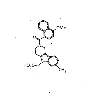 COc1ccc(C(=O)N2CCc3c(c4ccc(C)cc4n3CC(=O)O)C2)c2ccccc12